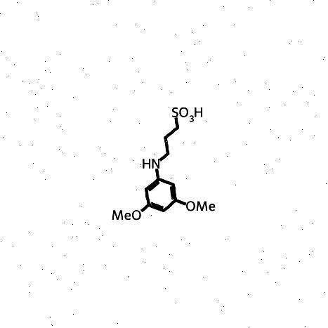 COc1cc(NCCCS(=O)(=O)O)cc(OC)c1